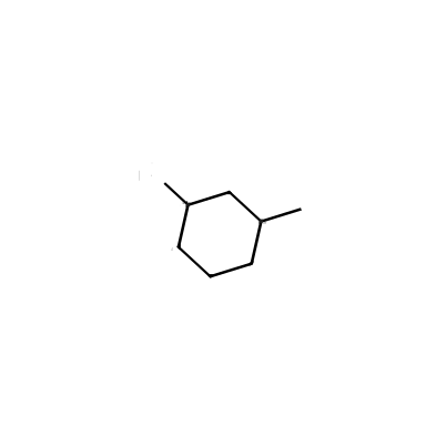 CC1CCC[C](O)C1